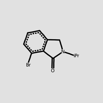 CC(C)N1Cc2cccc(Br)c2C1=O